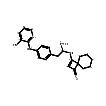 CCOC(=O)[C@H](Cc1ccc(Nc2ncccc2N)cc1)NC1=CC(=O)C12CCCCC2